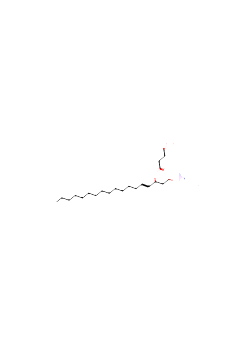 CCCCCCCCCCCCC/C=C/C(CCON)OC(=O)CCC=O